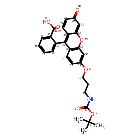 CC(C)(C)OC(=O)NCCCOc1ccc2c(-c3ccccc3C(=O)O)c3ccc(=O)cc-3oc2c1